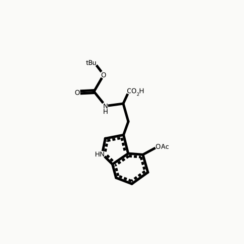 CC(=O)Oc1cccc2[nH]cc(CC(NC(=O)OC(C)(C)C)C(=O)O)c12